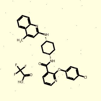 Cc1cc(N[C@H]2CC[C@@H](NC(=O)c3cccnc3Oc3ccc(Cl)cc3)CC2)nc2ccccc12.O=C(O)C(F)(F)F